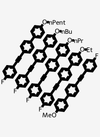 CCCCCOc1ccc(-c2ccc(C#Cc3ccc(F)cc3)cc2)cc1.CCCCOc1ccc(-c2ccc(C#Cc3ccc(F)cc3)cc2)cc1.CCCOc1ccc(-c2ccc(C#Cc3ccc(F)cc3)cc2)cc1.CCOc1ccc(-c2ccc(C#Cc3ccc(F)cc3)cc2)cc1.COc1ccc(-c2ccc(C#Cc3ccc(F)cc3)cc2)cc1